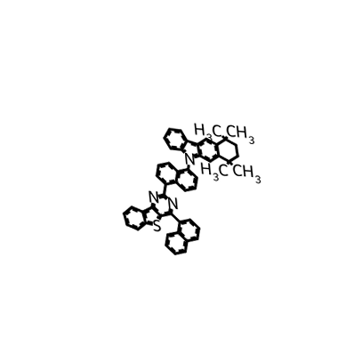 CC1(C)CCC(C)(C)c2cc3c(cc21)c1ccccc1n3-c1cccc2c(-c3nc(-c4cccc5ccccc45)c4sc5ccccc5c4n3)cccc12